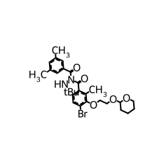 Cc1cc(C)cc(C(=O)N(NC(C)(C)C)C(=O)c2ccc(Br)c(OCCOC3CCCCO3)c2C)c1